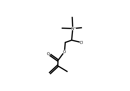 C=C(C)C(=O)OCC(Cl)[N+](C)(C)C